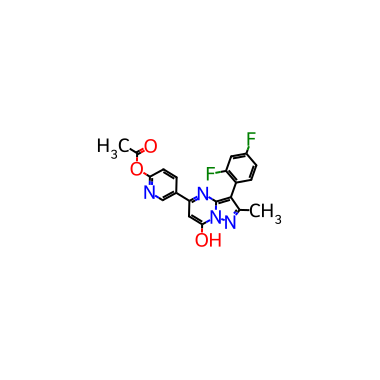 CC(=O)Oc1ccc(-c2cc(O)n3nc(C)c(-c4ccc(F)cc4F)c3n2)cn1